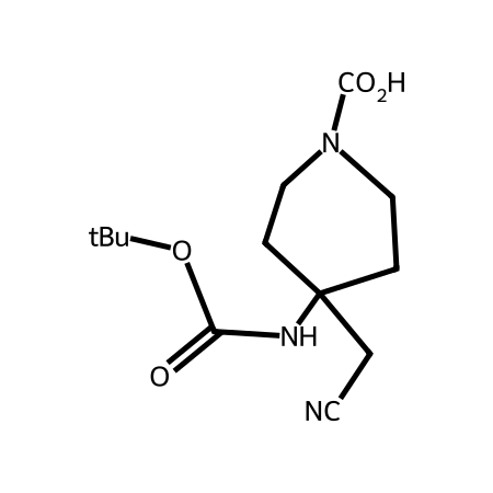 CC(C)(C)OC(=O)NC1(CC#N)CCN(C(=O)O)CC1